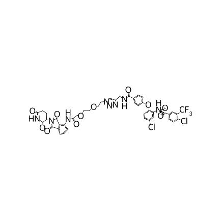 O=C1CCC(N2C(=O)c3cccc(NC(=O)COCCOCCn4cc(CNC(=O)c5ccc(Oc6ccc(Cl)cc6NS(=O)(=O)c6ccc(Cl)c(C(F)(F)F)c6)cc5)nn4)c3C2=O)C(=O)N1